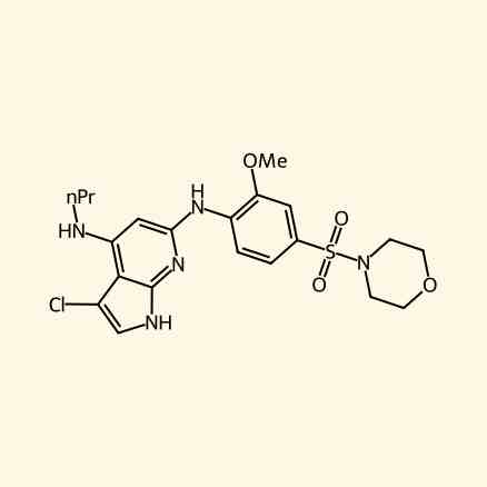 CCCNc1cc(Nc2ccc(S(=O)(=O)N3CCOCC3)cc2OC)nc2[nH]cc(Cl)c12